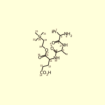 CC(NC(=O)C(N)C(C)C)C(=O)NC(CCC(=O)O)C(=O)OCC[Si](C)(C)C